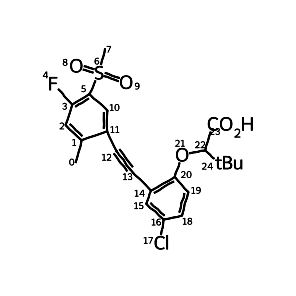 Cc1cc(F)c(S(C)(=O)=O)cc1C#Cc1cc(Cl)ccc1OC(C(=O)O)C(C)(C)C